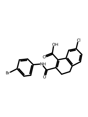 O=C(O)C1=C(C(=O)Nc2ccc(Br)cc2)CCc2ccc(Cl)cc21